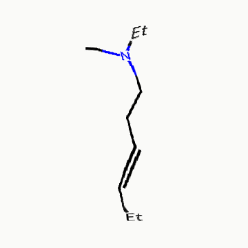 CC/C=C/CCN(C)CC